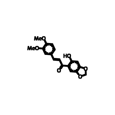 COc1ccc(C=CC(=O)c2cc3c(cc2O)OCO3)cc1OC